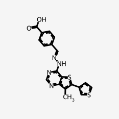 Cc1c(-c2ccsc2)sc2c(NN=Cc3ccc(C(=O)O)cc3)ncnc12